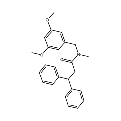 COc1cc(CN(C)C(=O)CC(c2ccccc2)c2ccccc2)cc(OC)c1